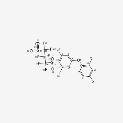 Cc1ccc(Oc2cc(F)c(S(=O)(=O)C(F)(F)C(F)(F)C(F)(F)S(=O)(=O)Cl)c(F)c2)c(C)c1